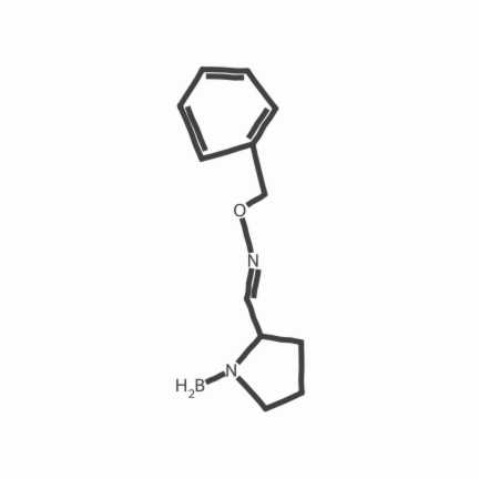 BN1CCCC1C=NOCc1ccccc1